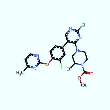 CCC1CN(c2nc(Cl)ncc2-c2ccc(Oc3nccc(C)n3)c(F)c2)CCN1C(=O)OC(C)(C)C